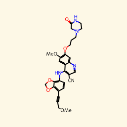 COCC#Cc1ccc(Nc2c(C#N)cnc3cc(OCCCN4CCNC(=O)C4)c(OC)cc23)c2c1OCO2